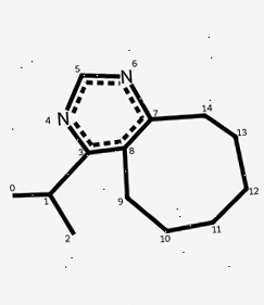 CC(C)c1ncnc2c1CCCCCC2